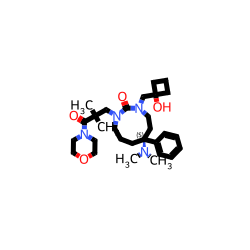 CN(C)[C@@]1(c2ccccc2)CCCN(CC(C)(C)C(=O)N2CCOCC2)C(=O)N(CC2(O)CCC2)CC1